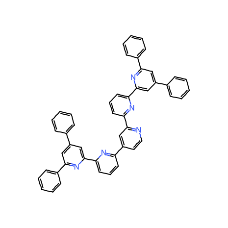 c1ccc(-c2cc(-c3ccccc3)nc(-c3cccc(-c4ccnc(-c5cccc(-c6cc(-c7ccccc7)cc(-c7ccccc7)n6)n5)c4)n3)c2)cc1